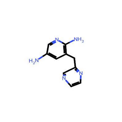 Nc1cnc(N)c(Cc2cnccn2)c1